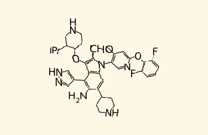 Cc1cc(Oc2c(F)cccc2F)ncc1-n1c(C=O)c(OC2CCNCC2C(C)C)c2c(-c3cn[nH]c3)c(N)c(C3CCNCC3)cc21